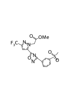 COC(=O)Cn1nc(C(F)(F)F)cc1-c1nc(-c2cccc(S(C)(=O)=O)c2)no1